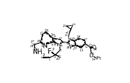 C=CC(F)(F)Cn1c(-c2nc3cc(C(=O)OC(C)C)ccc3n2C2CC2)cc2ccc([C@@H](C)N)nc21